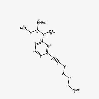 CCCCCCCCCCCCCCC#Cc1cccc(C(OC(C)=O)C(COC(C)=O)NC(C)=O)n1